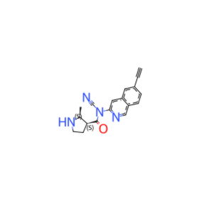 C#Cc1ccc2cnc(N(C#N)C(=O)[C@H]3CCN[C@H]3C)cc2c1